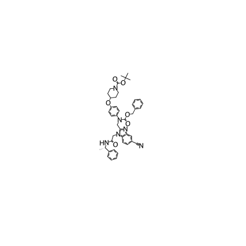 C[C@H](NC(=O)Cn1c(CN(C(=O)OCc2ccccc2)c2ccc(OC3CCN(C(=O)OC(C)(C)C)CC3)cc2)nc2cc(C#N)ccc21)c1ccccc1